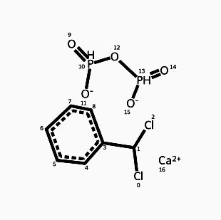 ClC(Cl)c1ccccc1.O=[PH]([O-])O[PH](=O)[O-].[Ca+2]